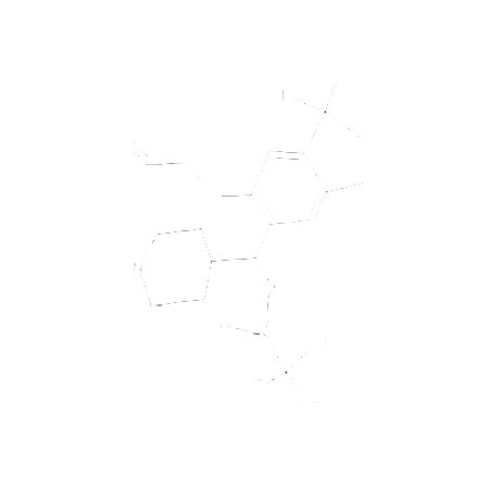 C=CCOc1cc(C(F)(F)F)c(Cl)cc1C(N[S+]([O-])C(C)(C)C)C1CCNCC1